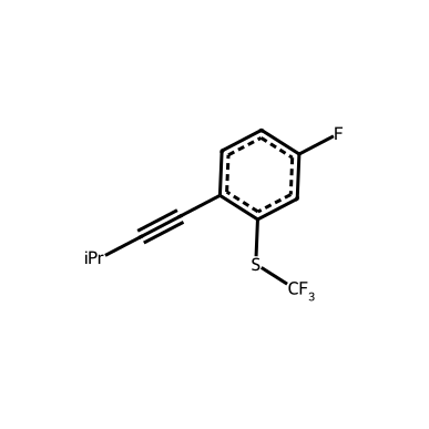 CC(C)C#Cc1ccc(F)cc1SC(F)(F)F